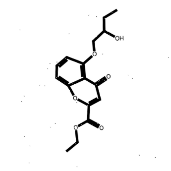 CCOC(=O)c1cc(=O)c2c(OCC(O)CC)cccc2o1